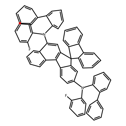 Fc1ccccc1N(c1ccc2c(c1)C1(c3ccccc3-c3ccccc31)c1cc(N(c3ccccc3F)c3ccccc3-c3ccccc3)c3ccccc3c1-2)c1ccccc1-c1ccccc1